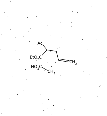 C=CCC(C(C)=O)C(=O)OCC.CC(=O)O